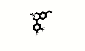 CCc1ccc2c(c1)CN(C)CC2c1ccc(F)c(F)c1